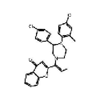 CC=C(c1cc(=O)c2ccccc2o1)N1CCN(c2ccc(Cl)cc2C)C(c2ccc(Cl)cc2)C1